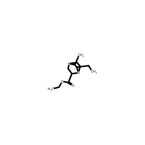 CCOC(=O)C1CN2CCN1C(CC)C2C